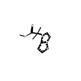 COC(=O)C(C)(C)n1ccn2nccc12